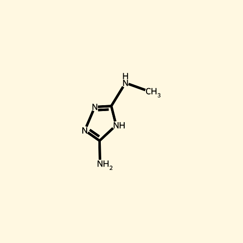 CNc1nnc(N)[nH]1